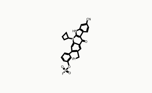 CC(C)Cc1cc2c(=O)c3c4ccc(C#N)cc4[nH]c3n(C3CCC3)c2cc1-c1cccc(OS(=O)(=O)F)c1